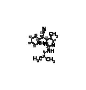 Cc1cnc(NCC(C)C)nc1/C(C#N)=C1/C=CC=CN1